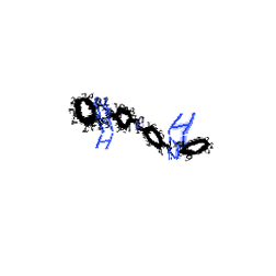 C(=C\c1ccc(-c2nc3ccccc3[nH]2)cc1)/c1ccc(-c2nc3ccccc3[nH]2)cc1